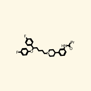 CC(C)C(=O)Nc1cccc(C2CCN(CCCCC(Oc3ccc(F)cc3)c3ccc(F)cc3)CC2)c1